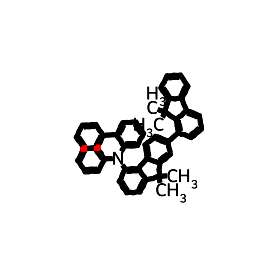 CC1(C)c2cc(-c3cccc4c3C(C)(C)c3ccccc3-4)ccc2-c2c(N(c3ccccc3)c3ccccc3-c3ccccc3)cccc21